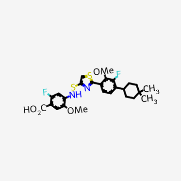 COc1cc(C(=O)O)c(F)cc1NSc1csc(-c2ccc(C3CCC(C)(C)CC3)c(F)c2OC)n1